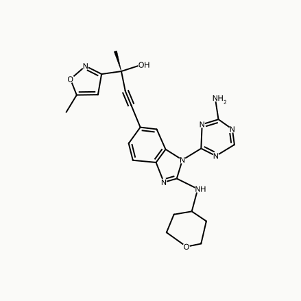 Cc1cc([C@](C)(O)C#Cc2ccc3nc(NC4CCOCC4)n(-c4ncnc(N)n4)c3c2)no1